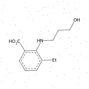 CCc1cccc(C(=O)O)c1NCCCO